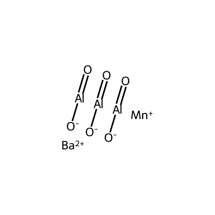 [Ba+2].[Mn+].[O]=[Al][O-].[O]=[Al][O-].[O]=[Al][O-]